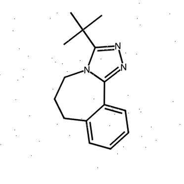 CC(C)(C)c1nnc2n1CCCc1ccccc1-2